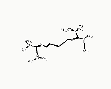 CN(C)C(=NCCCCN=C(N(C)C)N(C)C)N(C)C